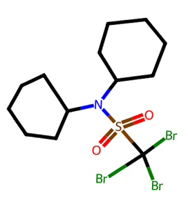 O=S(=O)(N(C1CCCCC1)C1CCCCC1)C(Br)(Br)Br